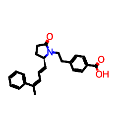 C/C(=C/C=C[C@H]1CCC(=O)N1CCc1ccc(C(=O)O)cc1)c1ccccc1